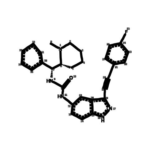 CN1CCCC[C@@H]1[C@H](NC(=O)Nc1ccc2[nH]nc(C#Cc3ccc(F)cc3)c2c1)c1ccccc1